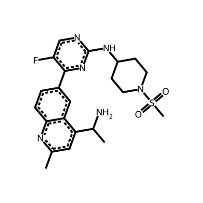 Cc1cc(C(C)N)c2cc(-c3nc(NC4CCN(S(C)(=O)=O)CC4)ncc3F)ccc2n1